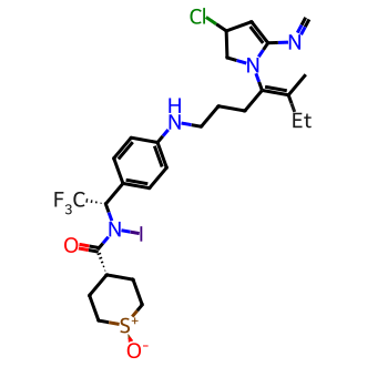 C=NC1=CC(Cl)CN1/C(CCCNc1ccc([C@H](N(I)C(=O)[C@H]2CC[S@+]([O-])CC2)C(F)(F)F)cc1)=C(\C)CC